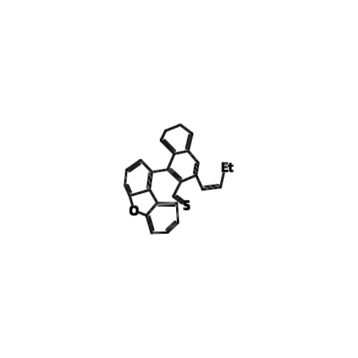 CC/C=C\c1cc2c(c(-c3cccc4oc5ccccc5c34)c1C=S)=CCCC=2